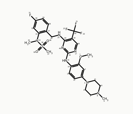 COc1cc(N2CCN(C)CC2)ccc1Nc1ncc(C(F)(F)F)c(NCc2ccc(F)cc2N(C)S(C)(=O)=O)n1